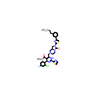 COC(=O)C1=C(CN2CCN3C(=O)N(c4nc(-c5cccc(CCC(=O)O)c5)cs4)CC3C2)NC(c2nccs2)=NC1c1ccc(F)cc1Cl